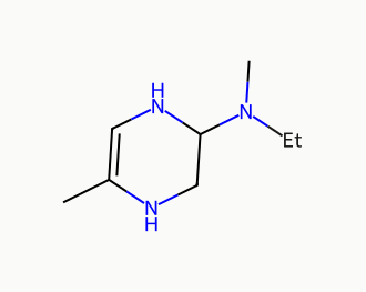 CCN(C)C1CNC(C)=CN1